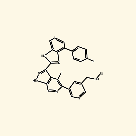 CCNCc1cncc(-c2ncc3[nH]nc(-c4nc5c(-c6ccc(F)cc6)cncc5[nH]4)c3c2F)c1